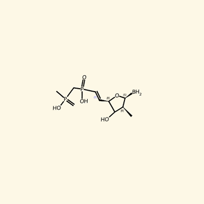 B[C@@H]1O[C@H](/C=C/P(=O)(O)CP(=C)(C)O)C(O)[C@@H]1C